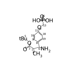 CC(C(=O)OC(C)(C)C)C(N)c1ccc(OCP(=O)(O)O)cc1